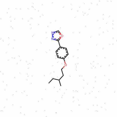 CCC(C)CCOc1ccc(-c2nnco2)cc1